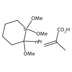 C=C(C)C(=O)O.CCCC1(OC)CCCC[Si]1(OC)OC